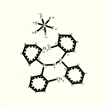 Cc1ccccc1[P]([Ir+][P](c1ccccc1)c1ccccc1C)c1ccccc1.F[P-](F)(F)(F)(F)F